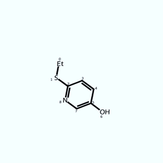 CCSc1ccc(O)cn1